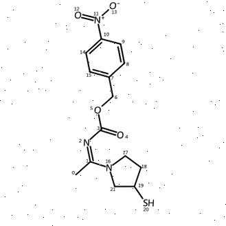 CC(=NC(=O)OCc1ccc([N+](=O)[O-])cc1)N1CCC(S)C1